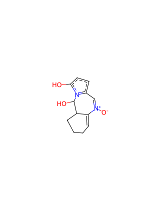 [O-][N+]1=Cc2ccc(O)n2C(O)C2CCCC=C21